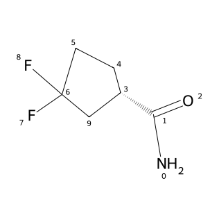 NC(=O)[C@H]1CCC(F)(F)C1